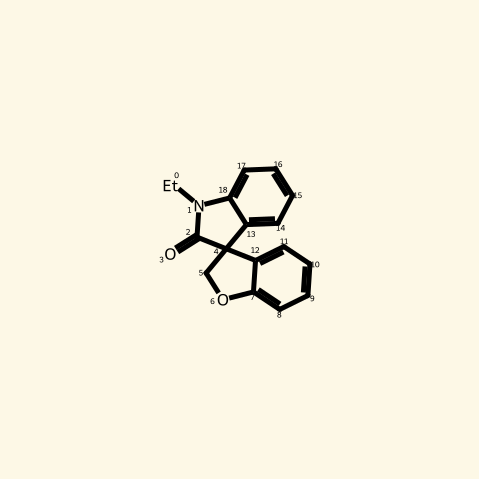 CCN1C(=O)C2(COc3ccccc32)c2ccccc21